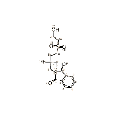 O=C1c2ccccc2C(=O)N1CC(F)(F)CCS(=O)(=O)CCO